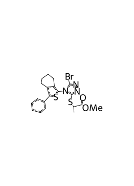 COC(=O)C(C)Sc1nnc(Br)n1-c1sc(-c2ccccc2)c2c1CCCC2